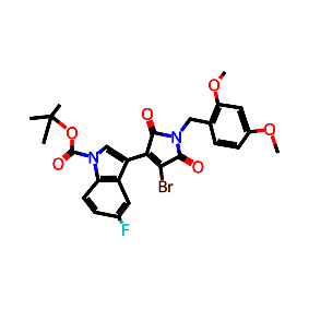 COc1ccc(CN2C(=O)C(Br)=C(c3cn(C(=O)OC(C)(C)C)c4ccc(F)cc34)C2=O)c(OC)c1